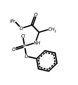 CC(C)OC(=O)C(C)NP(=O)(Cl)Oc1ccccc1